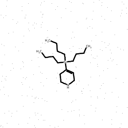 CCC[CH2][Sn]([CH2]CCC)([CH2]CCC)[C]1=CCNCC1